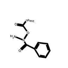 CCCCCC(=O)ON(N)C(=O)c1ccccc1